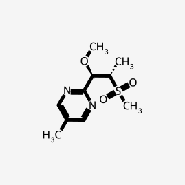 CO[C@H](c1ncc(C)cn1)[C@H](C)S(C)(=O)=O